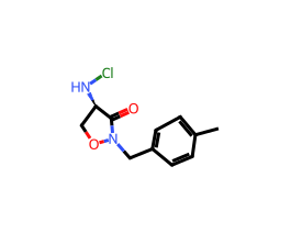 Cc1ccc(CN2OC[C@@H](NCl)C2=O)cc1